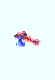 COc1ccccc1Oc1c(NS(=O)(=O)c2ccc(C)cn2)nc(-c2ccnc(-c3nnn[nH]3)c2)nc1OCCOC(=O)OCCOCCO[N+](=O)[O-]